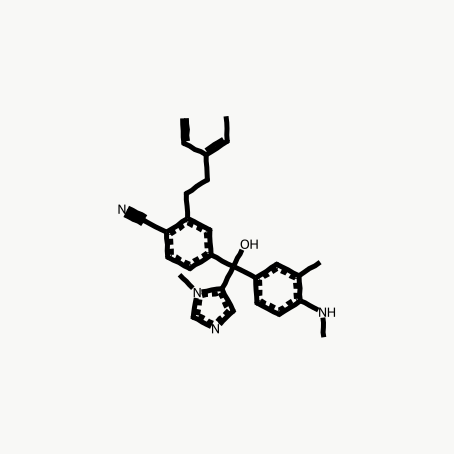 C=C/C(=C\C)CCc1cc(C(O)(c2ccc(NC)c(C)c2)c2cncn2C)ccc1C#N